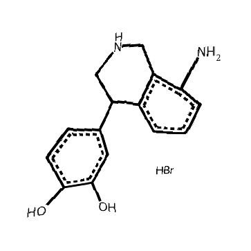 Br.Nc1cccc2c1CNCC2c1ccc(O)c(O)c1